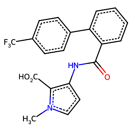 Cn1ccc(NC(=O)c2ccccc2-c2ccc(C(F)(F)F)cc2)c1C(=O)O